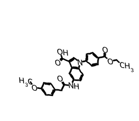 CCOC(=O)c1ccc(-n2cc(C(=O)O)c3cc(NC(=O)Cc4ccc(OC)cc4)ccc32)cc1